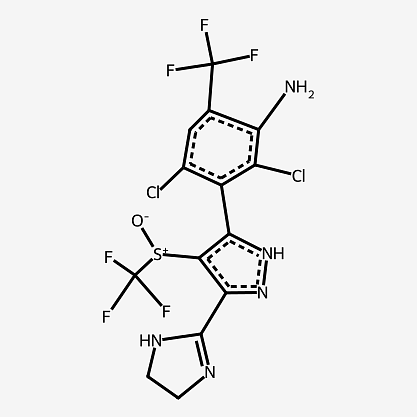 Nc1c(C(F)(F)F)cc(Cl)c(-c2[nH]nc(C3=NCCN3)c2[S+]([O-])C(F)(F)F)c1Cl